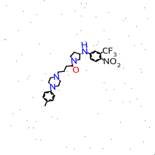 Cc1ccc(N2CCN(CCCC(=O)N3CC[C@H](Nc4ccc([N+](=O)[O-])c(C(F)(F)F)c4)C3)CC2)cc1